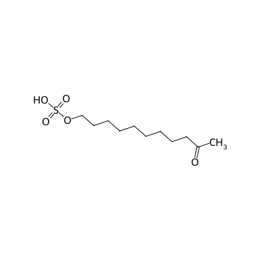 CC(=O)CCCCCCCCCOS(=O)(=O)O